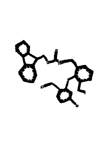 O=Cc1ccc(Br)cc1Sc1c(CI)cccc1CNC(=O)OCC1c2ccccc2-c2ccccc21